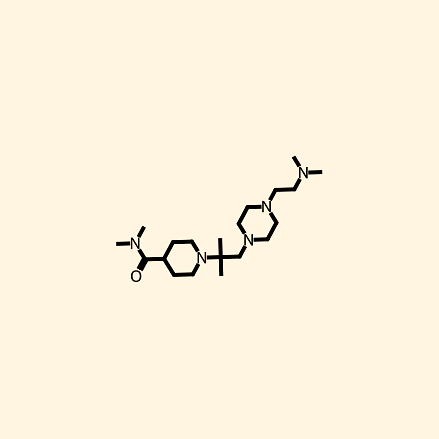 CN(C)CCN1CCN(CC(C)(C)N2CCC(C(=O)N(C)C)CC2)CC1